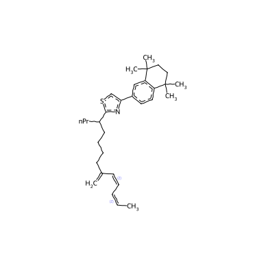 C=C(/C=C\C=C/C)CCCCC(CCC)c1nc(-c2ccc3c(c2)C(C)(C)CCC3(C)C)cs1